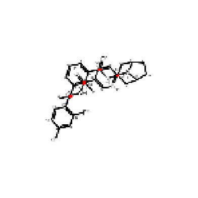 COc1cccc(C(=O)NC2CC3CCC(C2)N3c2ccc(C(=O)NCc3ccc(F)cc3F)cn2)c1C